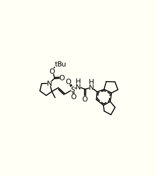 CC(C)(C)OC(=O)N1CCCC1(C)/C=C/S(=O)(=O)NC(=O)Nc1cc2c(c3c1CCC3)CCC2